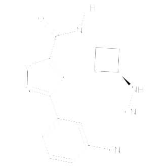 CN(C(=O)c1cc(-c2cccc(C#N)c2)no1)[C@H]1C[C@H](NC#N)C1